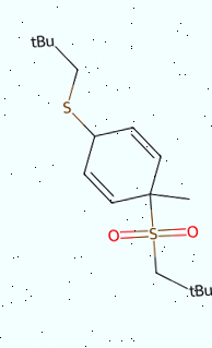 CC(C)(C)CSC1C=CC(C)(S(=O)(=O)CC(C)(C)C)C=C1